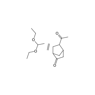 C=C.CC(=O)C1CC2CC1CC2=O.CCOC(C)OCC